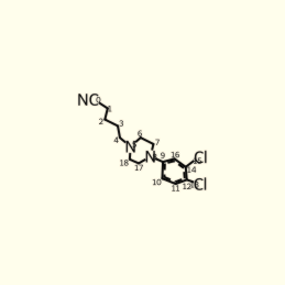 N#CCCCCN1CCN(c2ccc(Cl)c(Cl)c2)CC1